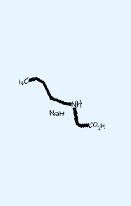 N#CCCNCC(=O)O.[NaH]